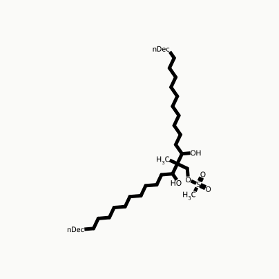 CCCCCCCCCCCCCCCCCCCCC(O)C(C)(COS(C)(=O)=O)C(O)CCCCCCCCCCCCCCCCCCCC